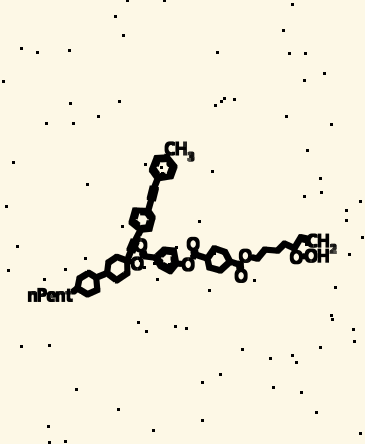 C=CC(CCCCOC(=O)C1CCC(C(=O)Oc2ccc(C(=O)OC3(C#Cc4ccc(C#Cc5ccc(C)cc5)cc4)CCC(C4CCC(CCCCC)CC4)CC3)cc2)CC1)OO